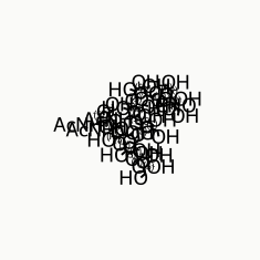 CC(=O)NC1C(O)[C@H](O[C@@H]2OC(CO[C@]3(OC=O)C[C@@H](O)[C@@H](C)C([C@H](O)[C@H](O)CO)O3)[C@H](O)[C@H](O)C2O)[C@H](CO)O[C@H]1OC1[C@@H](OCC2O[C@@H](O[C@@H]3C(CO)O[C@@H](O[C@@H]4C(CO)O[C@@H](C)C(NC(C)=O)[C@H]4O)C(NC(C)=O)[C@H]3O)C(O)[C@@H](O[C@H]3OC(CO)[C@@H](O)C(O)C3O)[C@@H]2O)OC(CO)[C@@H](O)[C@@H]1O